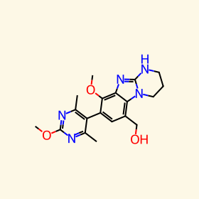 COc1nc(C)c(-c2cc(CO)c3c(nc4n3CCCN4)c2OC)c(C)n1